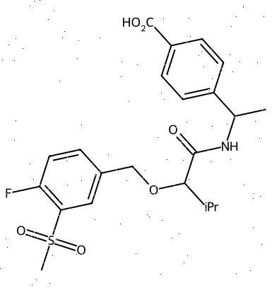 CC(NC(=O)C(OCc1ccc(F)c(S(C)(=O)=O)c1)C(C)C)c1ccc(C(=O)O)cc1